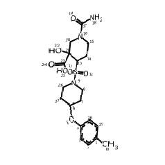 Cc1ccc(OC2CCN(S(=O)(=O)C3CCN(C(N)=O)CC3(O)C(=O)O)CC2)cc1